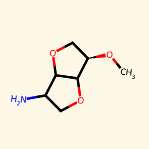 CO[C@@H]1COC2C(N)COC21